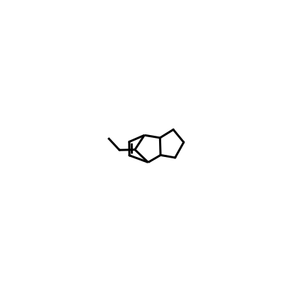 CCC1C2C=CC1C1CCCC21